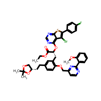 CCOC(=O)[C@@H](Cc1cc(CC[C@H]2COC(C)(C)O2)ccc1OCc1ccnc(-c2ccccc2OC)n1)Oc1ncnc2sc(-c3ccc(F)cc3)c(Br)c12